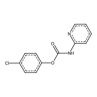 O=C(Nc1ccccn1)Oc1ccc(Cl)cc1